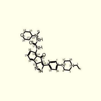 CCN1CCN(c2ccc(C3=C4C(=O)c5c(NC(=O)NN(C)C6CCOCC6)cccc5C4N=N3)cc2)CC1